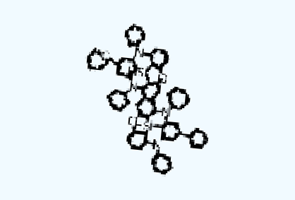 c1ccc(-c2cc3c4c(c2)N(c2ccccc2)c2c5c(cc6c7c8c(cc26)Oc2cccc6c2[SiH]8c2c(cc(-c8ccccc8)cc2N7c2ccccc2)N6c2ccccc2)Oc2cccc(c2[SiH]45)N3c2ccccc2)cc1